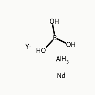 OB(O)O.[AlH3].[Nd].[Y]